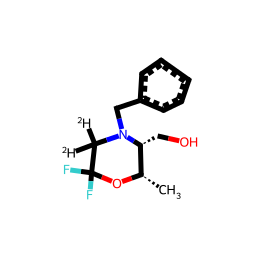 [2H]C1([2H])N(Cc2ccccc2)[C@H](CO)[C@H](C)OC1(F)F